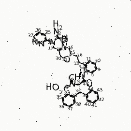 CN(C(=O)O)[C@H](C(=O)Nc1ccccc1CC[C@@H]1CN[C@H](CN(C(N)=O)c2cccnn2)CO1)C(c1ccccc1)c1ccccc1